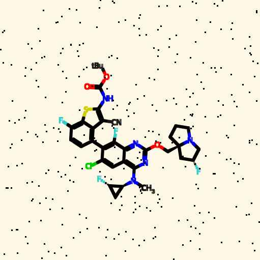 CN(c1nc(OC[C@@]23CCCN2C[C@H](F)C3)nc2c(F)c(-c3ccc(F)c4sc(NC(=O)OC(C)(C)C)c(C#N)c34)c(Cl)cc12)[C@H]1C[C@@H]1F